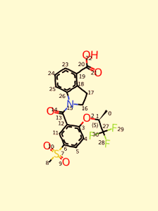 C[C@H](Oc1ccc(S(C)(=O)=O)cc1C(=O)N1CCc2c(C(=O)O)cccc21)C(F)(F)F